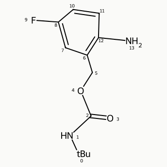 CC(C)(C)NC(=O)OCc1cc(F)ccc1N